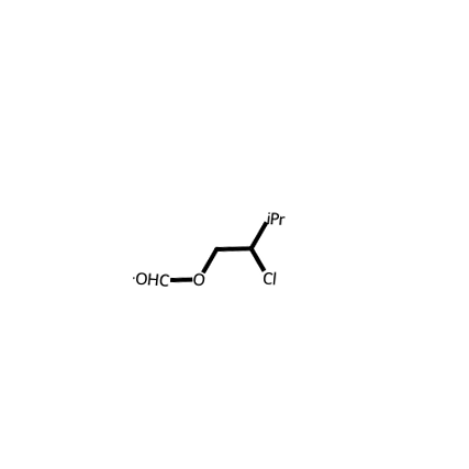 CC(C)C(Cl)CO[C]=O